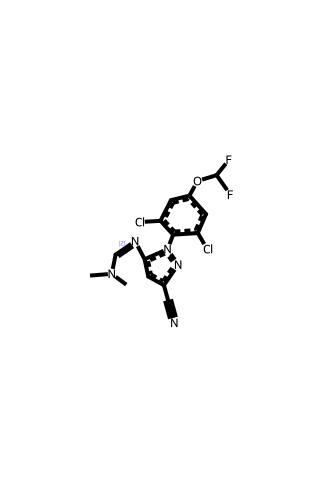 CN(C)/C=N\c1cc(C#N)nn1-c1c(Cl)cc(OC(F)F)cc1Cl